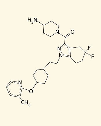 Cc1cccnc1OC1CCC(CCn2nc(C(=O)N3CCC(N)CC3)c3c2CCC(F)(F)C3)CC1